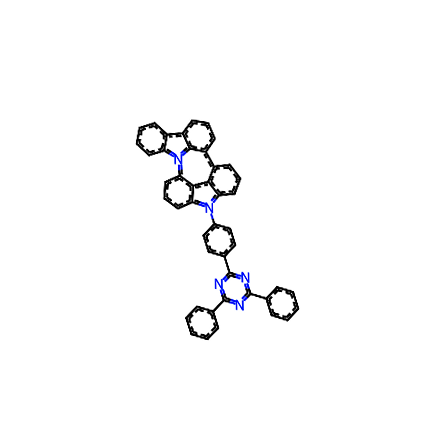 c1ccc(-c2nc(-c3ccccc3)nc(-c3ccc(-n4c5cccc6c7cccc8c9ccccc9n(c9cccc4c9c65)c78)cc3)n2)cc1